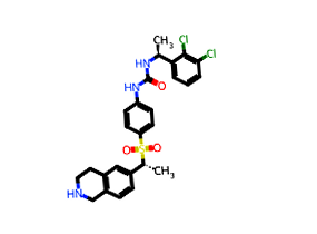 C[C@H](NC(=O)Nc1ccc(S(=O)(=O)[C@H](C)c2ccc3c(c2)CCNC3)cc1)c1cccc(Cl)c1Cl